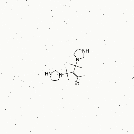 CCC(C)=C(C(C)(C)N1CCNC1)C(C)(C)N1CCNC1